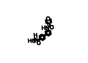 O=C(NO)c1ccc(-c2cccc(NC(=O)N3CCOCC3)c2)cc1